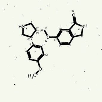 COc1ccc([C@@H]2CNC[C@@H]2COc2ccc3c(c2)C(=O)NC3)cc1